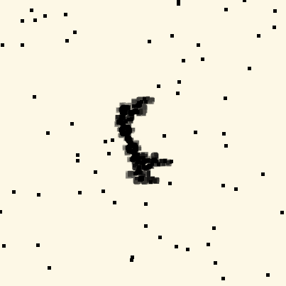 CNC(=O)N1CCN(C(=O)[C@@H](NC(=O)OC)C(C)C)[C@H](c2ncc(-c3ccc(C#Cc4ccc(-c5cnc([C@@H]6CCCN6C(=O)C(NC(=O)OC)C(C)C)[nH]5)cc4)cc3)[nH]2)C1